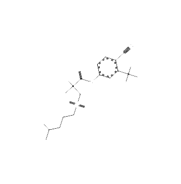 CC(F)CCCS(=O)(=O)CC(C)(O)C(=O)Nc1ccc(C#N)c(C(F)(F)F)c1